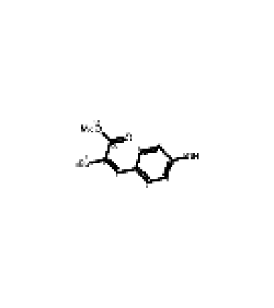 CCCCC(=Cc1ccc(O)cc1)C(=O)OC